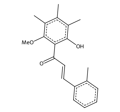 COc1c(C)c(C)c(C)c(O)c1C(=O)/C=C/c1ccccc1C